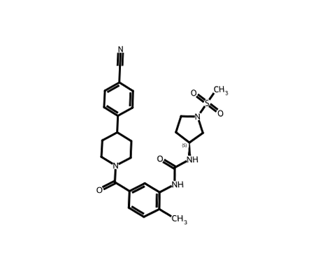 Cc1ccc(C(=O)N2CCC(c3ccc(C#N)cc3)CC2)cc1NC(=O)N[C@H]1CCN(S(C)(=O)=O)C1